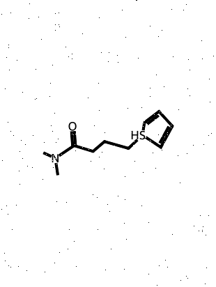 CN(C)C(=O)CCC[SH]1C=CC=C1